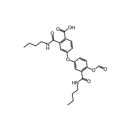 CCCCNC(=O)c1cc(Oc2ccc(C(=O)O)c(C(=O)NCCCC)c2)ccc1OC=O